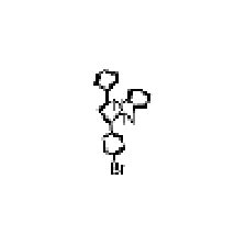 Brc1ccc(-c2ccc(-c3ccccc3)n3c2nc2ccccc23)cc1